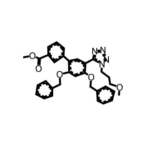 COCCCn1nnnc1-c1cc(-c2cccc(C(=O)OC)c2)c(OCc2ccccc2)cc1OCc1ccccc1